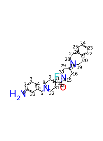 Nc1cccc(CN2CCC(F)(C(=O)N3CCC(N4CCc5ccccc5CC4)CC3)CC2)c1